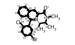 CCC(C)N(C)C(=O)c1cc2ccccc2c(-c2cc(Br)ccc2Cl)n1